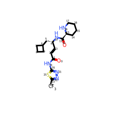 O=C(/C=C/[C@H](CC1CCC1)NC(=O)[C@@H]1CCCCN1)Nc1nnc(C(F)(F)F)s1